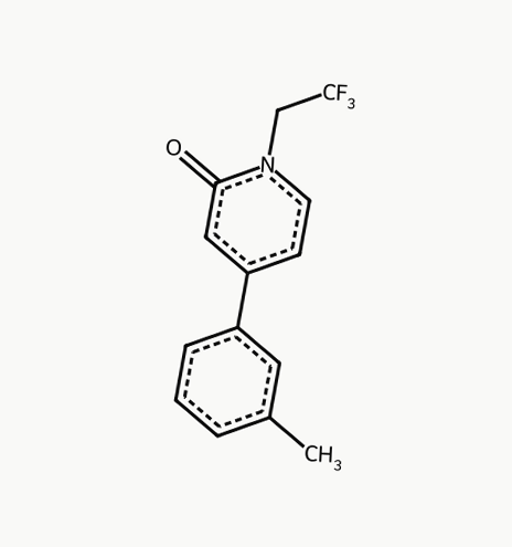 Cc1cccc(-c2ccn(CC(F)(F)F)c(=O)c2)c1